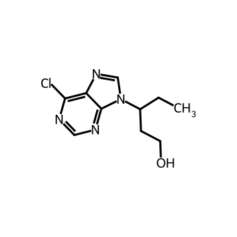 CCC(CCO)n1cnc2c(Cl)ncnc21